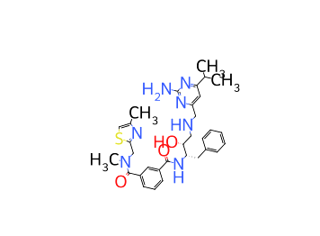 Cc1csc(CN(C)C(=O)c2cccc(C(=O)N[C@@H](Cc3ccccc3)[C@H](O)CNCc3cc(C(C)C)nc(N)n3)c2)n1